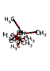 CCCCCCCCCCCCCCCCCC[CH2][Pd][CH2]CCCCCCCCCCCCCCCCCC.CCCCCCc1cc(C2=CC=C(c3cc(CCCCCC)c(CCCC)c(CCCCCC)c3)[N+]2=[N-])cc(CCCCCC)c1CCCC